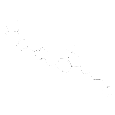 CCC(C(=O)O)c1ccc(-c2csc(Nc3ccc(OCCCCc4cccs4)c(C(F)(F)F)c3)n2)s1